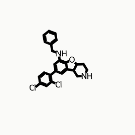 Clc1ccc(-c2cc(NCc3ccccc3)c3c(c2)C2CNCCC2O3)c(Cl)c1